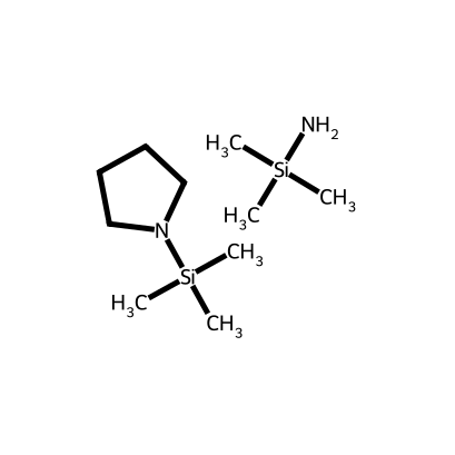 C[Si](C)(C)N.C[Si](C)(C)N1CCCC1